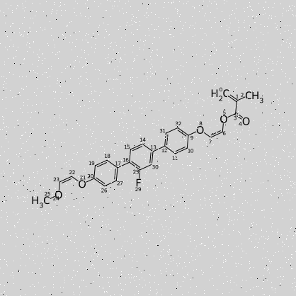 C=C(C)C(=O)O/C=C\Oc1ccc(-c2ccc(-c3ccc(O/C=C\OC)cc3)c(F)c2)cc1